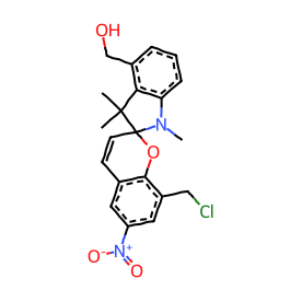 CN1c2cccc(CO)c2C(C)(C)C12C=Cc1cc([N+](=O)[O-])cc(CCl)c1O2